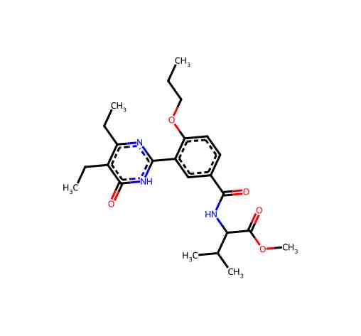 CCCOc1ccc(C(=O)NC(C(=O)OC)C(C)C)cc1-c1nc(CC)c(CC)c(=O)[nH]1